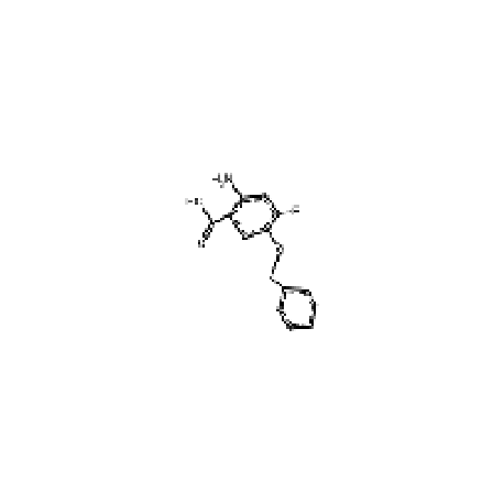 Nc1cc(F)c(OCc2ccccc2)cc1C(=O)O